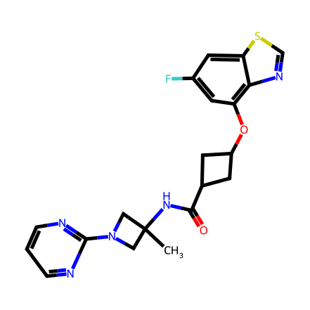 CC1(NC(=O)C2CC(Oc3cc(F)cc4scnc34)C2)CN(c2ncccn2)C1